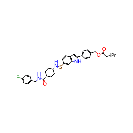 CC(C)CC(=O)OCc1ccc(-c2cc3ccc(SN[C@H]4CC[C@H](C(=O)NCc5ccc(F)cc5)CC4)cc3[nH]2)cc1